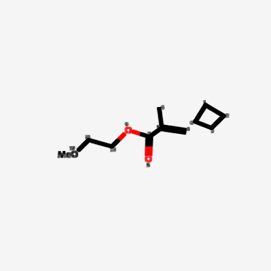 C1CCC1.C=C(C)C(=O)OCCOC